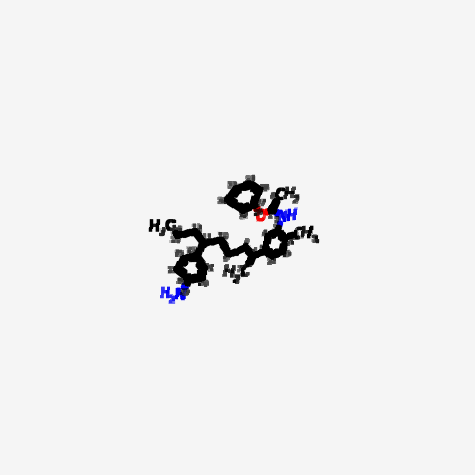 C=C(Nc1cc(C(=C)CCCC(CCC)c2ccc(N)cc2)ccc1C)Oc1ccccc1